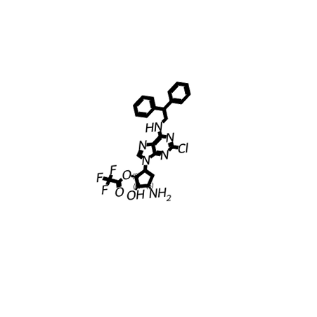 N[C@H]1CC(n2cnc3c(NCC(c4ccccc4)c4ccccc4)nc(Cl)nc32)[C@H](OC(=O)C(F)(F)F)[C@@H]1O